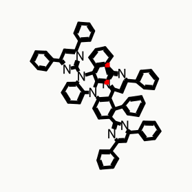 c1ccc(-c2cc(-c3c(N4c5ccccc5N(c5nc(-c6ccccc6)cc(-c6ccccc6)n5)c5ccccc54)ccc(-c4nc(-c5ccccc5)cc(-c5ccccc5)n4)c3-c3ccccc3)nc(-c3ccccc3)n2)cc1